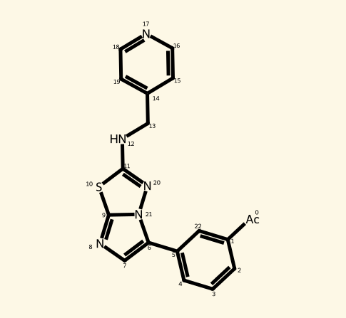 CC(=O)c1cccc(-c2cnc3sc(NCc4ccncc4)nn23)c1